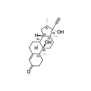 C#C[C@]1(O)[C@@H](C)C[C@H]2[C@@H]3CCC4=CC(=O)CC[C@]4(C)[C@@]3(O)CC[C@@]21C